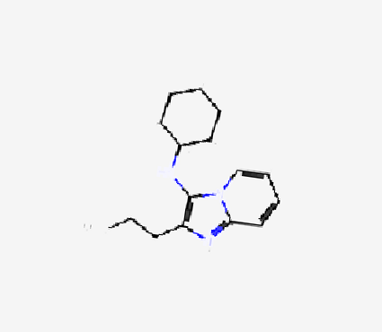 CSCCc1nc2ccccn2c1NC1CCCCC1